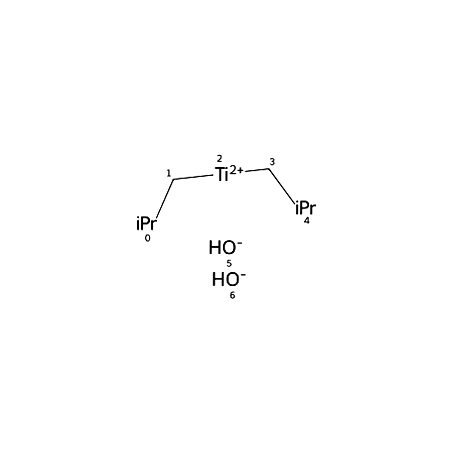 CC(C)[CH2][Ti+2][CH2]C(C)C.[OH-].[OH-]